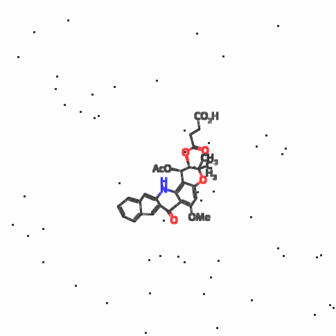 COc1cc2c(c3[nH]c4cc5ccccc5cc4c(=O)c13)[C@@H](OC(C)=O)[C@@H](OC(=O)CCC(=O)O)C(C)(C)O2